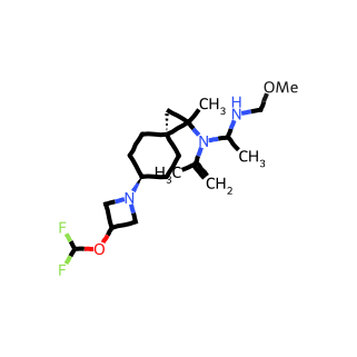 C=C(C)N(C(C)NCOC)C1(C)C[C@]12CC[C@H](N1CC(OC(F)F)C1)CC2